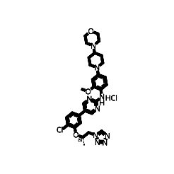 COc1cc(N2CCC(N3CCOCC3)CC2)ccc1Nc1ncc(-c2ccc(Cl)c(O[C@@H](C)Cn3cnnn3)c2)cn1.Cl